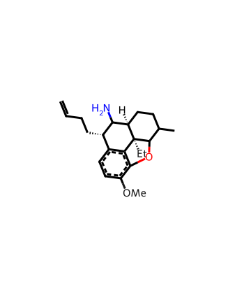 C=CCC[C@H]1c2ccc(OC)c3c2[C@]2(CC)C(O3)C(C)CC[C@@H]2C1N